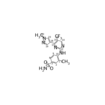 Cc1cc(S(N)(=O)=O)ccc1Nc1ncc(C(F)(F)F)c(-c2cnn(C)c2)n1